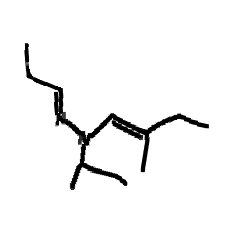 CC/C=N/N(/C=C(\C)CC)C(C)C